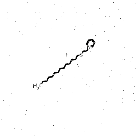 CCCCCCCCCCCCCCSCC[n+]1ccccc1.[I-]